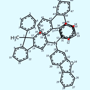 CC1(c2ccccc2)c2ccccc2-c2cc(N(c3ccc4c(c3)oc3ccccc34)c3ccccc3-c3ccccc3-c3ccccc3-c3ccccc3)ccc21